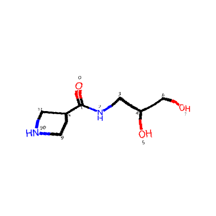 O=C(NCC(O)CO)C1CNC1